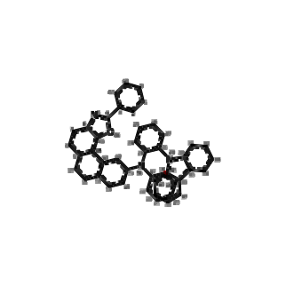 c1ccc(-c2nc3ccc4ccc5ccc(N(c6ccccc6)c6ccccc6-n6c7ccccc7c7ccccc76)cc5c4c3o2)cc1